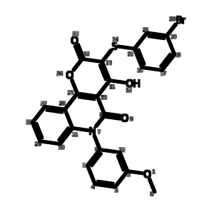 COc1cccc(-n2c(=O)c3c(O)c(Sc4cccc(Br)c4)c(=O)oc3c3ccccc32)c1